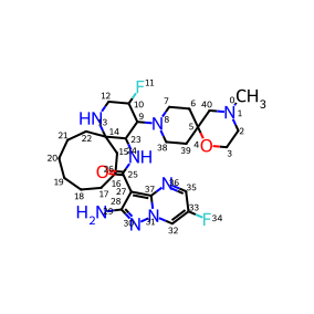 CN1CCOC2(CCN(C3C(F)CNC4(CCCCCCCC4)C3NC(=O)c3c(N)nn4cc(F)cnc34)CC2)C1